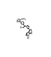 NC1SC=NC1N1CCC(C(CF)n2ccc(-c3ncnc4[nH]ccc34)c2)C1